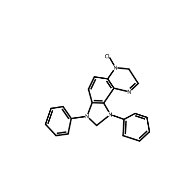 ClN1CC=Nc2c1ccc1c2N(c2ccccc2)CN1c1ccccc1